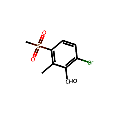 Cc1c(S(C)(=O)=O)ccc(Br)c1C=O